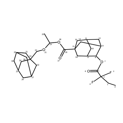 CCC(F)(F)C(=O)OC1C2CC3CC1CC(C(=O)OC(C)OCC14CC5CC(CC(C5)C1)C4)(C3)C2